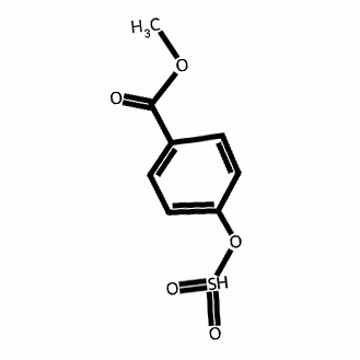 COC(=O)c1ccc(O[SH](=O)=O)cc1